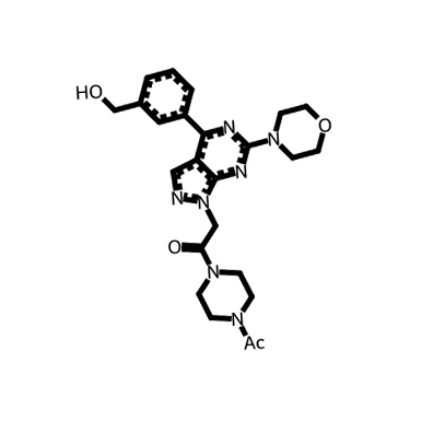 CC(=O)N1CCN(C(=O)Cn2ncc3c(-c4cccc(CO)c4)nc(N4CCOCC4)nc32)CC1